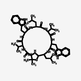 CC(C)CC1NC(=O)C(Cc2c[nH]c3ccccc23)NC(=O)C(C(C)C)NC(=O)[C@@H]2NC(OC2(C)C)C(CC(C)C)NC(=O)C(Cc2c[nH]c3ccccc23)NC(=O)C(C(C)C)NC1=O